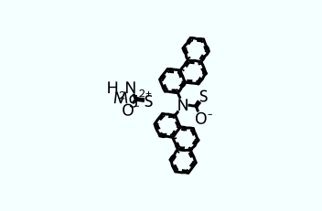 NC([O-])=S.[Mg+2].[O-]C(=S)N(c1cccc2c1ccc1ccccc12)c1cccc2c1ccc1ccccc12